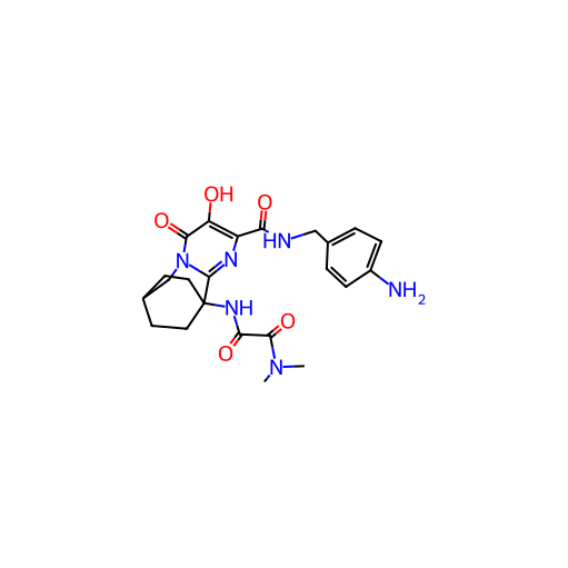 CN(C)C(=O)C(=O)NC12CCC(CC1)Cn1c2nc(C(=O)NCc2ccc(N)cc2)c(O)c1=O